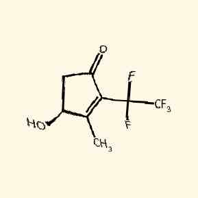 CC1=C(C(F)(F)C(F)(F)F)C(=O)C[C@@H]1O